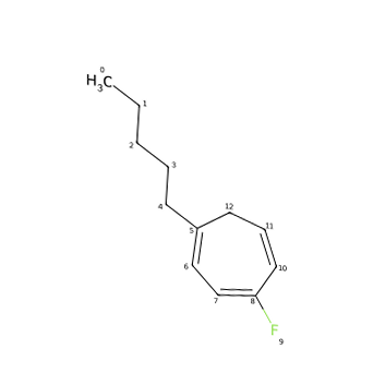 CCCCCC1=CC=C(F)C=CC1